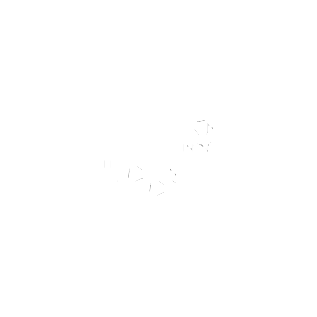 Cc1ccc(-c2cccc(C(=O)NCCCNc3nsc4ncccc34)c2)cc1C